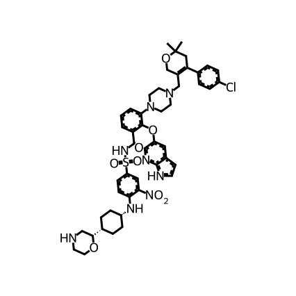 CC1(C)CC(c2ccc(Cl)cc2)=C(CN2CCN(c3cccc(C(=O)NS(=O)(=O)c4ccc(N[C@H]5CC[C@@H](C6CNCCO6)CC5)c([N+](=O)[O-])c4)c3Oc3cnc4[nH]ccc4c3)CC2)CO1